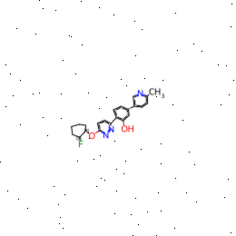 Cc1ccc(-c2ccc(-c3ccc(O[C@@H]4CCCC[C@@H]4F)nn3)c(O)c2)cn1